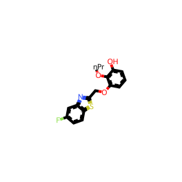 CCCOc1c(O)cccc1OCc1nc2cc(F)ccc2s1